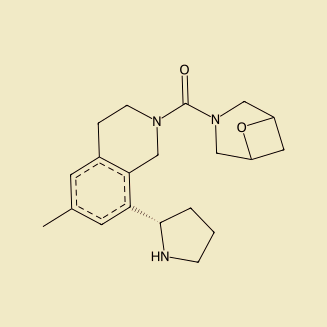 Cc1cc2c(c([C@@H]3CCCN3)c1)CN(C(=O)N1CC3CC(C1)O3)CC2